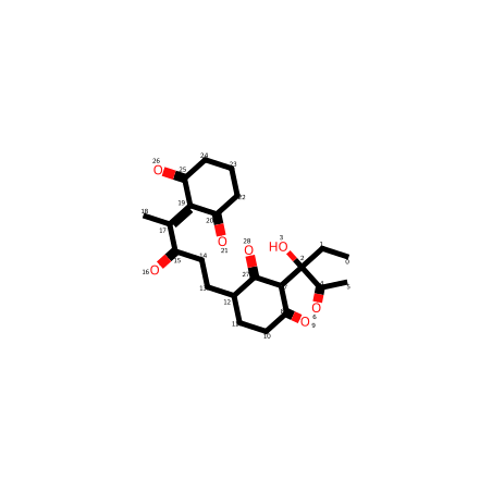 CCC(O)(C(C)=O)C1C(=O)CCC(CCC(=O)C(C)=C2C(=O)CCCC2=O)C1=O